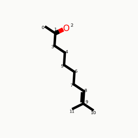 CC(=O)CCCCCC=C(C)C